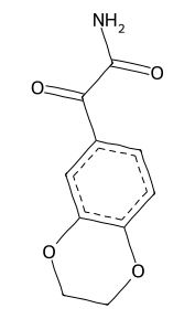 NC(=O)C(=O)c1ccc2c(c1)OCCO2